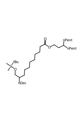 CCCCCCCCCCC(CCCCCCCCC(=O)OCCC(CCCCC)CCCCC)CO[Si](C)(C)C(C)(C)C